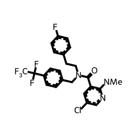 CNc1ncc(Cl)cc1C(=O)N(CCc1ccc(F)cc1)Cc1ccc(C(F)(F)C(F)(F)F)cc1